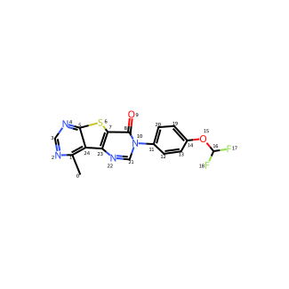 Cc1ncnc2sc3c(=O)n(-c4ccc(OC(F)F)cc4)cnc3c12